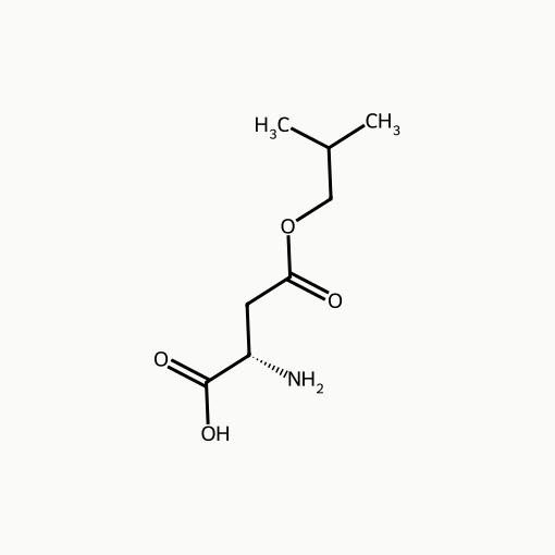 CC(C)COC(=O)C[C@H](N)C(=O)O